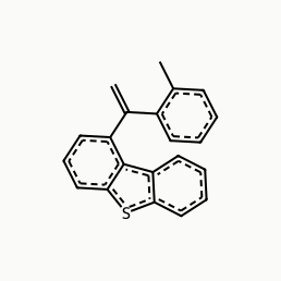 C=C(c1ccccc1C)c1cccc2sc3ccccc3c12